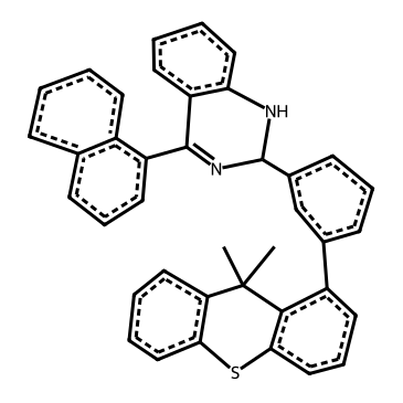 CC1(C)c2ccccc2Sc2cccc(-c3cccc(C4N=C(c5cccc6ccccc56)c5ccccc5N4)c3)c21